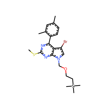 CSc1nc(-c2ccc(C)cc2C)c2c(Br)cn(COCC[Si](C)(C)C)c2n1